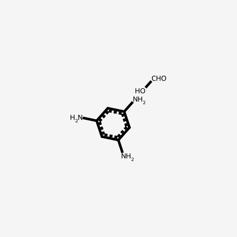 Nc1cc(N)cc(N)c1.O=CO